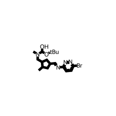 CC1CC(C=Nc2ccc(Br)nn2)CC1CN(C)C(O)OC(C)(C)C